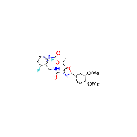 COc1ccc(-c2nc(C(=O)NCc3c(F)cccc3F)c(C(C)OC(N)=O)o2)cc1OC